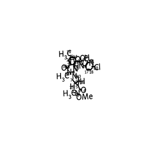 CON(C)C(=O)C1[C@H]2CN(c3nc4c([C@H](C)Nc5ccc(Cl)nc5C(=O)O)cc(C)cc4c(=O)n3C)C[C@@H]12